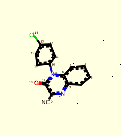 N#Cc1nc2ccccc2n(-c2ccc(Cl)cc2)c1=O